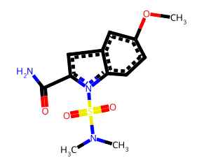 COc1ccc2c(c1)cc(C(N)=O)n2S(=O)(=O)N(C)C